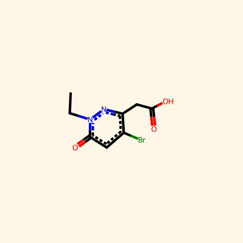 CCn1nc(CC(=O)O)c(Br)cc1=O